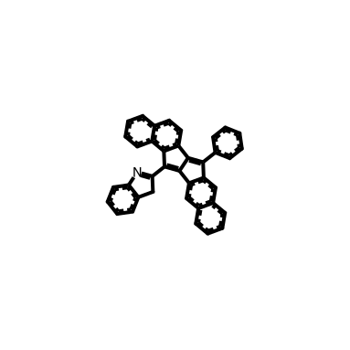 c1ccc(C2=C3C(=C(C4=Nc5ccccc5C4)c4c3ccc3ccccc43)c3cc4ccccc4cc32)cc1